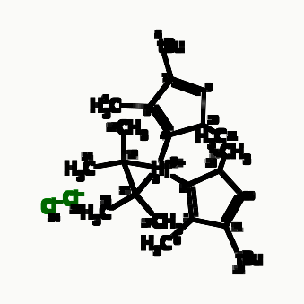 CC1=[C]([Hf+2]2([C]3=C(C)C(C(C)(C)C)=CC3C)[C](C)(C)[C]2(C)C)C(C)C=C1C(C)(C)C.[Cl-].[Cl-]